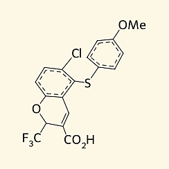 COc1ccc(Sc2c(Cl)ccc3c2C=C(C(=O)O)C(C(F)(F)F)O3)cc1